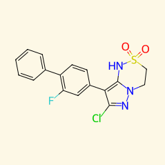 O=S1(=O)CCn2nc(Cl)c(-c3ccc(-c4ccccc4)c(F)c3)c2N1